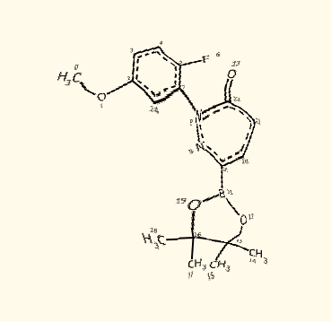 COc1ccc(F)c(-n2nc(B3OC(C)(C)C(C)(C)O3)ccc2=O)c1